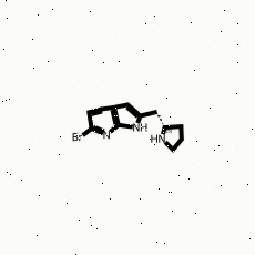 Brc1ccc2cc(C[C@@H]3CCCN3)[nH]c2n1